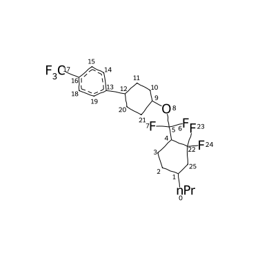 CCCC1CCC(C(F)(F)OC2CCC(c3ccc(C(F)(F)F)cc3)CC2)C(F)(F)C1